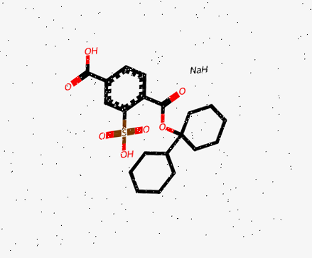 O=C(O)c1ccc(C(=O)OC2(C3CCCCC3)CCCCC2)c(S(=O)(=O)O)c1.[NaH]